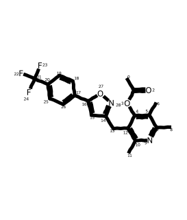 CC(=O)Oc1c(C)c(C)nc(C)c1Cc1cc(-c2ccc(C(F)(F)F)cc2)on1